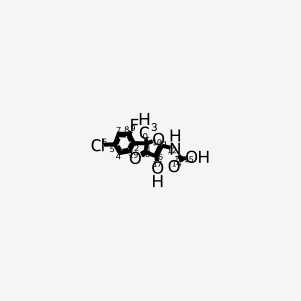 CC1(c2ccc(Cl)cc2F)OC(NC(=O)O)=C(O)C1=O